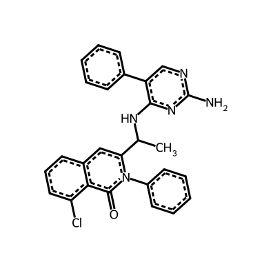 CC(Nc1nc(N)ncc1-c1ccccc1)c1cc2cccc(Cl)c2c(=O)n1-c1ccccc1